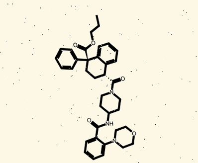 CCCOC(=O)[C@]1(c2ccccc2)CC[C@@H](C(=O)N2CCC(NC(=O)c3ccccc3N3CCOCC3)CC2)c2ccccc21